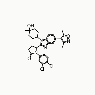 Cc1noc(C)c1-c1ccc2c(c1)nc(C1CCC(=O)N1c1ccc(Cl)c(Cl)c1)n2C1CCC(C)(O)CC1